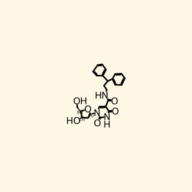 O=C(NCCC(c1ccccc1)c1ccccc1)c1cn([C@H]2C[C@H](O)[C@@H](CO)O2)c(=O)[nH]c1=O